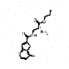 CCCOC(=O)[C@H](N)CNC(=O)c1cc2nccc(C)c2s1